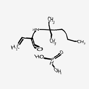 C=CC(=O)NC(C)(C)CCC.O=[PH](O)O